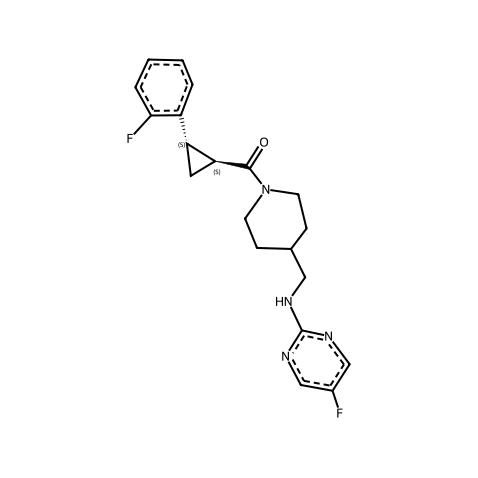 O=C([C@H]1C[C@@H]1c1ccccc1F)N1CCC(CNc2ncc(F)cn2)CC1